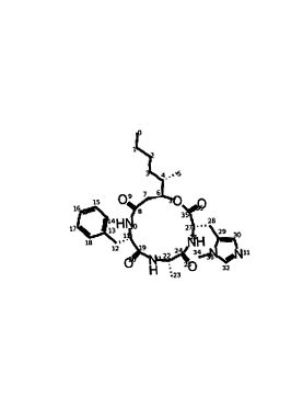 CCCC[C@H](C)[C@@H]1CC(=O)N[C@@H](Cc2ccccc2)C(=O)N[C@@H](C)C(=O)N[C@@H](Cc2cncn2C)C(=O)O1